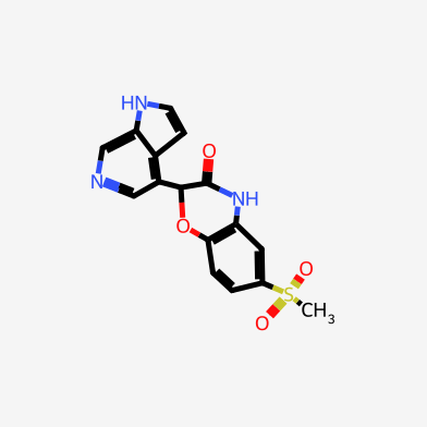 CS(=O)(=O)c1ccc2c(c1)NC(=O)C(c1cncc3[nH]ccc13)O2